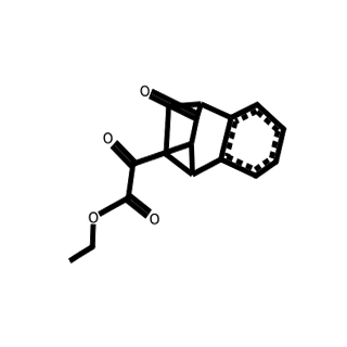 CCOC(=O)C(=O)C1C(=O)C2CCC1c1ccccc12